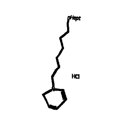 CCCCCCCCCCCCCN1C=CC=CC1.Cl